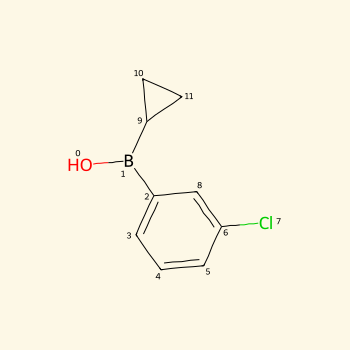 OB(c1cccc(Cl)c1)C1CC1